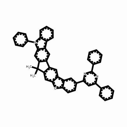 CC1(C)c2cc3oc4ccc(-c5cc(-c6ccccc6)nc(-c6ccccc6)n5)cc4c3cc2-c2cc3c4ccccc4n(-c4ccccc4)c3cc21